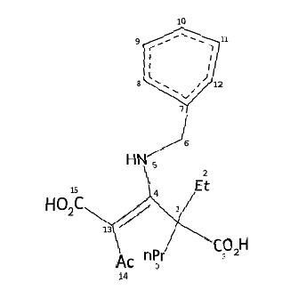 CCCC(CC)(C(=O)O)C(NCc1ccccc1)=C(C(C)=O)C(=O)O